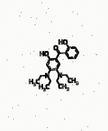 CCN(CC)c1cc(O)c(C(=O)c2ccccc2O)cc1N(CC)CC